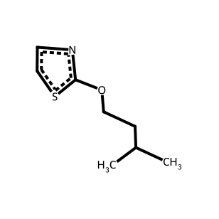 CC(C)CCOc1nccs1